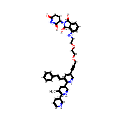 Cc1cc(-c2ncc(C#CCOCCOCCNc3cccc4c3C(=O)N(C3CCC(=O)NC3=O)C4=O)cc2/C=C/c2ccccc2)cnc1-c1cccnc1